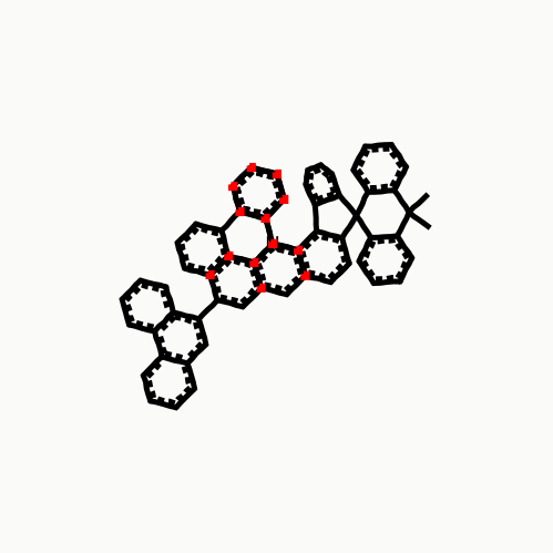 CC1(C)c2ccccc2C2(c3ccccc3-c3c(N(c4ccc(-c5cc6ccccc6c6ccccc56)cc4)c4ccccc4-c4ccccc4-c4ccccc4-c4ccccc4)cccc32)c2ccccc21